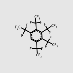 FC(F)(F)C(F)(F)c1[c]c(C(F)(F)C(F)(F)F)c(C(F)(F)C(F)(F)F)c(C(F)(F)C(F)(F)F)c1C(F)(F)C(F)(F)F